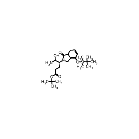 CC(C)(C)OC(=O)CC[C@@H](C(N)O)N1CC2=C(O[Si](C)(C)C(C)(C)C)C=CCC2C1=O